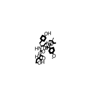 CC[C@H](C)CN(C[C@@H](O)[C@H](Cc1ccc(O)cc1)NC(=O)O[C@H]1CO[C@H]2OCC[C@H]21)S(=O)(=O)c1ccc(OC)cc1